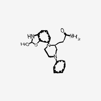 NC(=O)CCC1CN(c2ccccc2)CCN1c1cccc2c1OC(O)N2